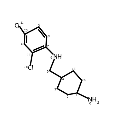 NC1CCC(CNc2ccc(Cl)cc2Cl)CC1